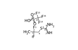 CC(F)(F)CSC(=N)N.O=S(=O)(O)C(F)(F)F